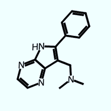 CN(C)Cc1c(-c2ccccc2)[nH]c2nccnc12